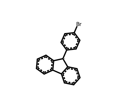 Brc1ccc([C]2c3ccccc3-c3ccccc32)cc1